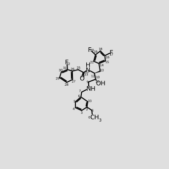 CCc1cccc(CNC[C@H](O)[C@H](Cc2cc(F)cc(F)c2)NC(=O)Cc2ccccc2F)c1